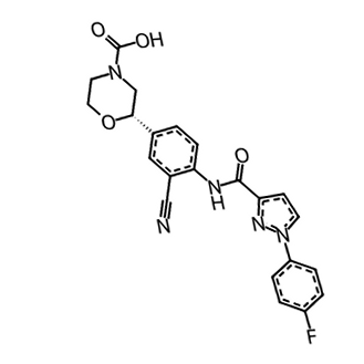 N#Cc1cc([C@H]2CN(C(=O)O)CCO2)ccc1NC(=O)c1ccn(-c2ccc(F)cc2)n1